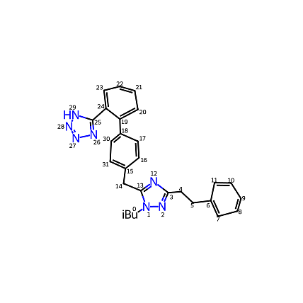 CCC(C)n1nc(CCc2ccccc2)nc1Cc1ccc(-c2ccccc2-c2nnn[nH]2)cc1